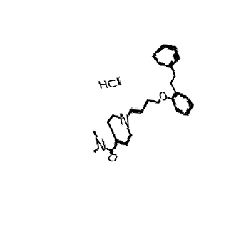 CN(C)C(=O)C1CCN(CCCCOc2ccccc2CCc2ccccc2)CC1.Cl